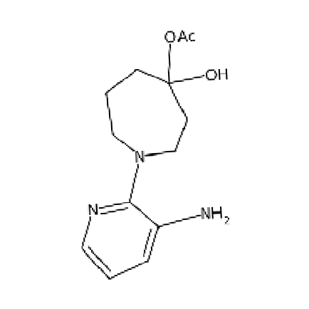 CC(=O)OC1(O)CCCN(c2ncccc2N)CC1